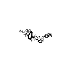 COC(=O)[C@@H](C)Oc1ccc(CNC(=O)c2cccnc2Oc2ccc3nsnc3c2)c(F)c1